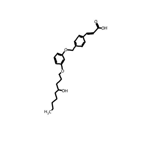 CCCCCC(O)CCCOc1cccc(OCc2ccc(/C=C/C(=O)O)cc2)c1